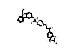 CCn1c2ccccc2c2cc(NC(=O)N3CCN(CCC(=O)c4ccc5[nH]c(=O)oc5c4)CC3)ccc21